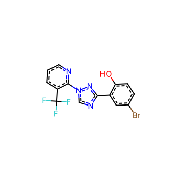 Oc1ccc(Br)cc1-c1ncn(-c2ncccc2C(F)(F)F)n1